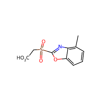 Cc1cccc2oc(S(=O)(=O)CC(=O)O)nc12